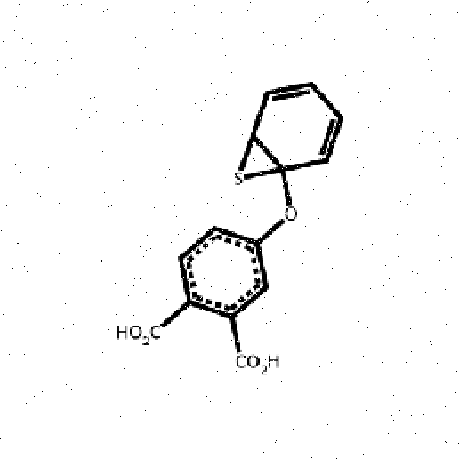 O=C(O)c1ccc(OC23C=CC=CC2S3)cc1C(=O)O